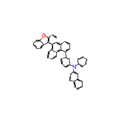 c1ccc(N(c2cccc(-c3cccc4c5ccc6oc7ccccc7c6c5c5ccccc5c34)c2)c2ccc3ccccc3c2)cc1